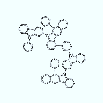 c1ccc(-c2c3ccccc3cc3c4ccccc4n(-c4ccc5c(c4)c4ccccc4n5-c4cccc(-c5cccc6c5c5cc7ccccc7c(-c7ccccc7)c5n6-c5ccc6c7ccccc7n(-c7ccccc7)c6c5)c4)c23)cc1